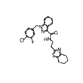 O=C(NCCc1nc2c(s1)CCCC2)c1nn(Cc2ccc(Cl)c(F)c2)c2ccccc12